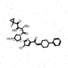 CCC1C=C(C(=O)C=C2CCC(c3ccccc3)CC2)N=C1[C@@H]1C[C@@H](O)CN1C(=O)[C@@H](C(=N)C(=O)C1(F)CC1)C(C)(C)C